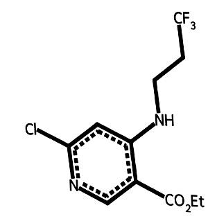 CCOC(=O)c1cnc(Cl)cc1NCCC(F)(F)F